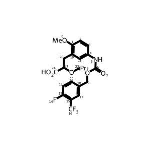 COc1ccc(NC(=O)OCc2ccc(F)c(C(F)(F)F)c2)cc1CC(OC(C)C)C(=O)O